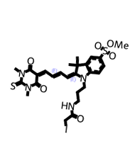 COS(=O)(=O)c1ccc2c(c1)C(C)(C)/C(=C\C=C\C=C1C(=O)N(C)C(=S)N(C)C1=O)N2CCCNC(=O)CI